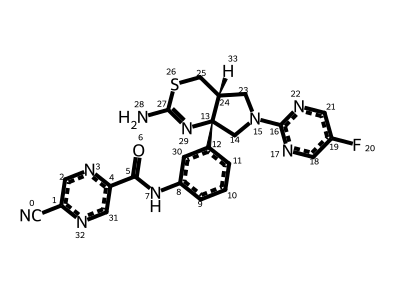 N#Cc1cnc(C(=O)Nc2cccc([C@]34CN(c5ncc(F)cn5)C[C@H]3CSC(N)=N4)c2)cn1